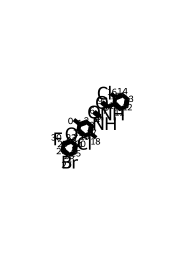 Cc1cc(NC(=O)NC(=O)c2ccccc2Cl)c(C)c(Cl)c1Oc1ccc(Br)cc1F